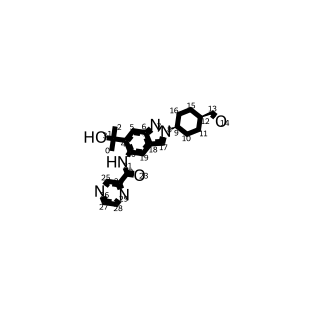 CC(C)(O)c1cc2nn([C@H]3CC[C@H](C=O)CC3)cc2cc1NC(=O)c1cnccn1